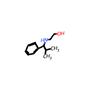 CC(C)C(NCCO)c1ccccc1